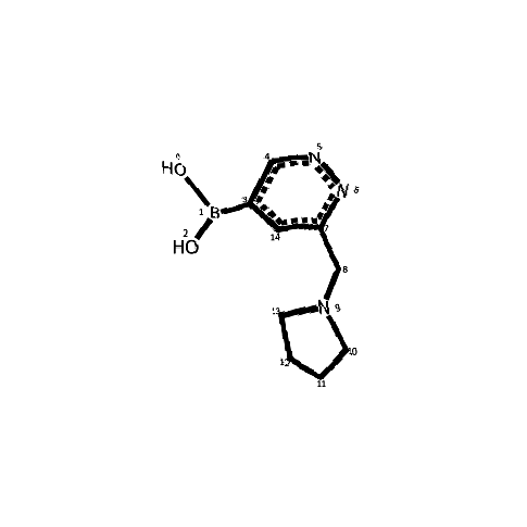 OB(O)c1cnnc(CN2CCCC2)c1